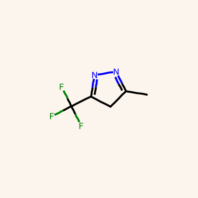 CC1=NN=C(C(F)(F)F)C1